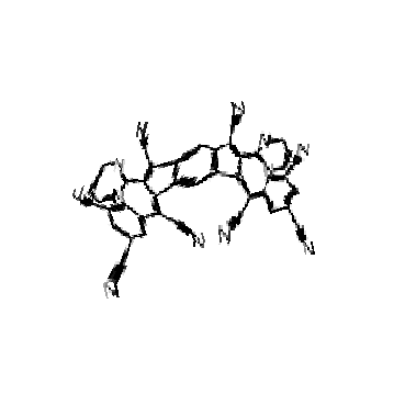 N#CC1=C(c2ncccn2)/C(=C(/C#N)c2cc(C#N)cc(C#N)c2)c2cc3c(cc21)C(C#N)=C(c1ncccn1)/C3=C(/C#N)c1cc(C#N)cc(C#N)c1